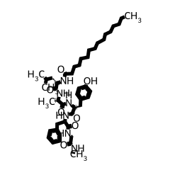 CCCCCCCCCCCCCCCC(=O)N[C@@H](CC(C)C)C(=O)N[C@@H](C)C(=O)N[C@@H](Cc1ccc(O)cc1)C(=O)NC(Cc1ccccc1)C(=O)NCC(=O)NC